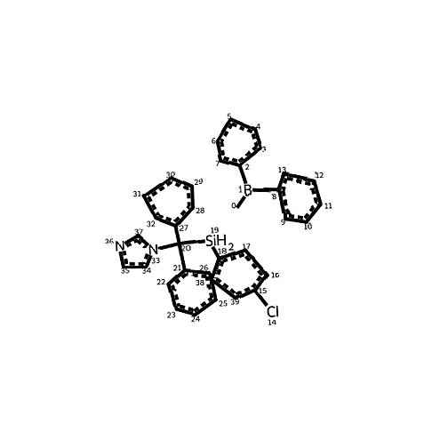 CB(c1ccccc1)c1ccccc1.Clc1ccc([SiH2]C(c2ccccc2)(c2ccccc2)n2ccnc2)cc1